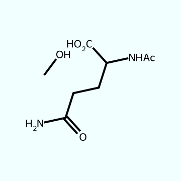 CC(=O)NC(CCC(N)=O)C(=O)O.CO